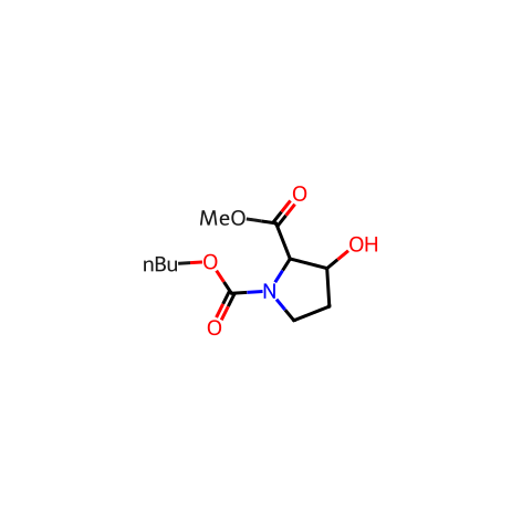 CCCCOC(=O)N1CCC(O)C1C(=O)OC